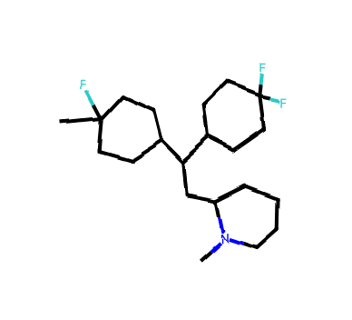 CN1CCCCC1CC(C1CCC(C)(F)CC1)C1CCC(F)(F)CC1